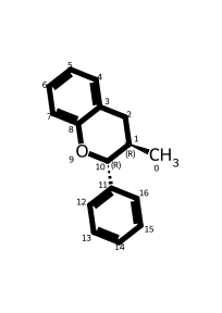 C[C@@H]1Cc2ccccc2O[C@H]1c1ccccc1